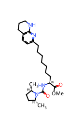 COC(=O)[C@H](CCCCCCCc1ccc2c(n1)NCCC2)NC(=O)N1[C@H](C)CC[C@H]1C